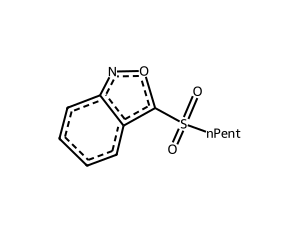 CCCCCS(=O)(=O)c1onc2ccccc12